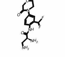 NC[C@H](N)C(=O)Nc1ccc(N2CCOCC2=O)cc1C(F)F